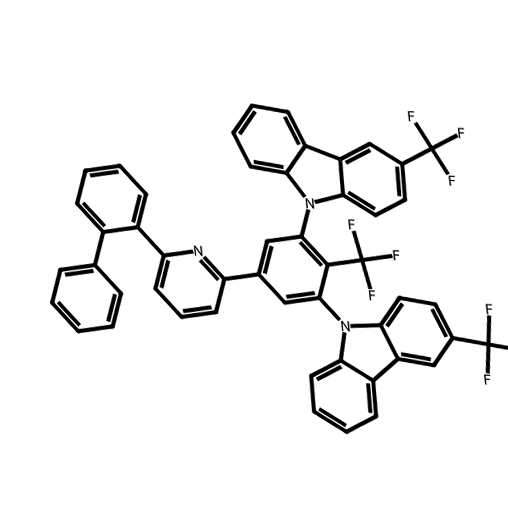 FC(F)(F)c1ccc2c(c1)c1ccccc1n2-c1cc(-c2cccc(-c3ccccc3-c3ccccc3)n2)cc(-n2c3ccccc3c3cc(C(F)(F)F)ccc32)c1C(F)(F)F